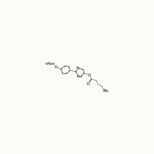 CCCCCCCCCOc1ccc(-c2ncc(OC(=O)CCCC(C)CC)cn2)cc1